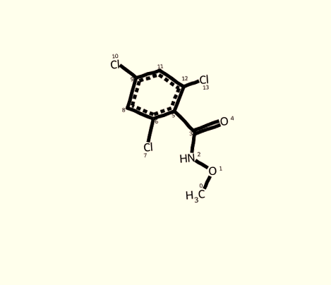 CONC(=O)c1c(Cl)cc(Cl)cc1Cl